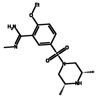 CCOc1ccc(S(=O)(=O)N2C[C@@H](C)N[C@@H](C)C2)cc1/C(N)=N/C